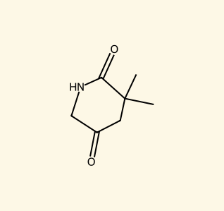 CC1(C)CC(=O)CNC1=O